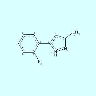 Cc1cc(-c2ccccc2F)[nH]n1